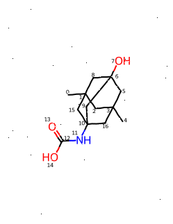 CC12CC3(C)CC(O)(C1)CC(NC(=O)O)(C2)C3